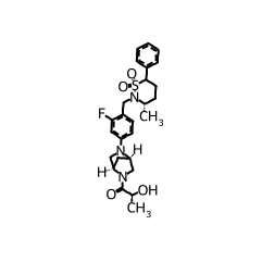 C[C@H](O)C(=O)N1C[C@H]2C[C@@H]1CN2c1ccc(CN2[C@@H](C)CCC(c3ccccc3)S2(=O)=O)c(F)c1